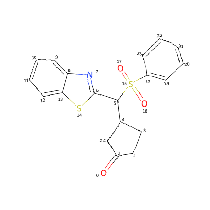 O=C1CCC(C(c2nc3ccccc3s2)S(=O)(=O)c2ccccc2)C1